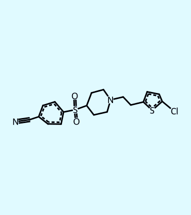 N#Cc1ccc(S(=O)(=O)C2CCN(CCc3ccc(Cl)s3)CC2)cc1